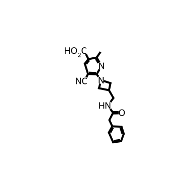 Cc1nc(N2CC(CNC(=O)Cc3ccccc3)C2)c(C#N)cc1C(=O)O